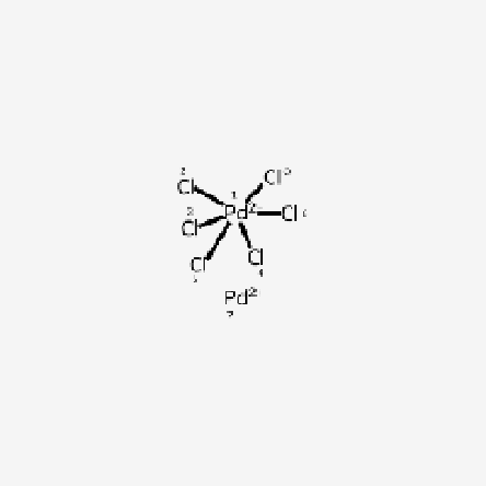 [Cl][Pd-2]([Cl])([Cl])([Cl])([Cl])[Cl].[Pd+2]